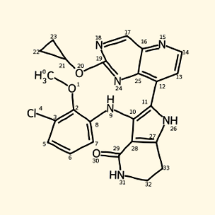 COc1c(Cl)cccc1Nc1c(-c2ccnc3cnc(OC4CC4)nc23)[nH]c2c1C(=O)NCC2